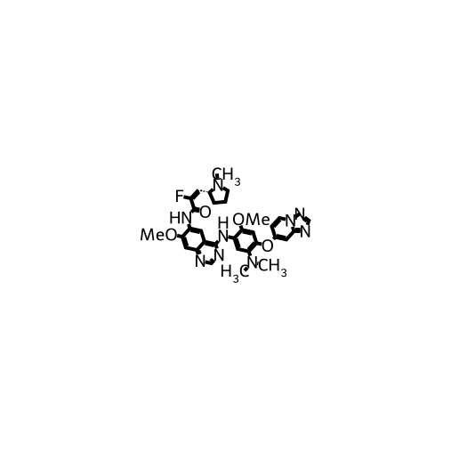 COc1cc2ncnc(Nc3cc(N(C)C)c(Oc4ccn5ncnc5c4)cc3OC)c2cc1NC(=O)/C(F)=C\[C@H]1CCCN1C